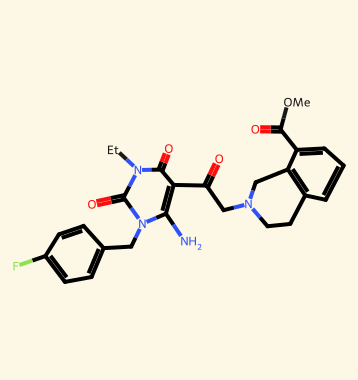 CCn1c(=O)c(C(=O)CN2CCc3cccc(C(=O)OC)c3C2)c(N)n(Cc2ccc(F)cc2)c1=O